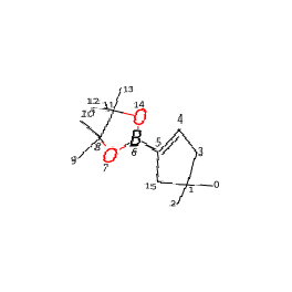 CC1(C)CC=C(B2OC(C)(C)C(C)(C)O2)C1